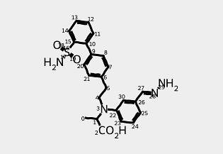 CC(C(=O)O)N(CCc1ccc(-c2ccccc2S(N)(=O)=O)cc1)c1cccc(C=NN)c1